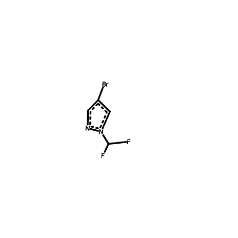 FC(F)n1cc(Br)cn1